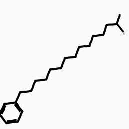 CC(I)CCCCCCCCCCCCCc1ccccc1